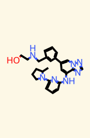 CC1CCCN1c1cccc(Nc2cc(-c3cccc(CNCCO)c3)cn3ncnc23)n1